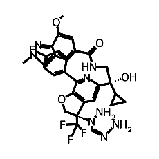 COc1cc(C(=O)NC[C@](O)(c2cc3c(c(-c4ccc(F)cc4)n2)OC[C@@]3(N(N)/C=N\N)C(F)(F)F)C2CC2)cc2cn(C)nc12